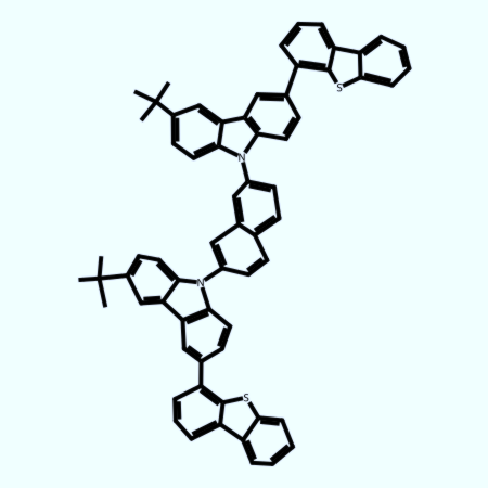 CC(C)(C)c1ccc2c(c1)c1cc(-c3cccc4c3sc3ccccc34)ccc1n2-c1ccc2ccc(-n3c4ccc(-c5cccc6c5sc5ccccc56)cc4c4cc(C(C)(C)C)ccc43)cc2c1